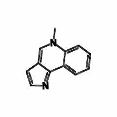 Cn1cc2ccnc-2c2ccccc21